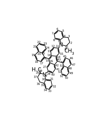 CC1CCc2ccccc2N1c1ccc2c(-c3cccc4ccccc34)c3cc(N4c5ccccc5CCC4C)ccc3c(-c3cccc4ccccc34)c2c1